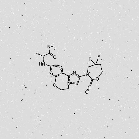 C[C@H](Nc1ccc2c(c1)OCCn1cc(N3CC(F)(F)CCOC3=C=O)nc1-2)C(N)=O